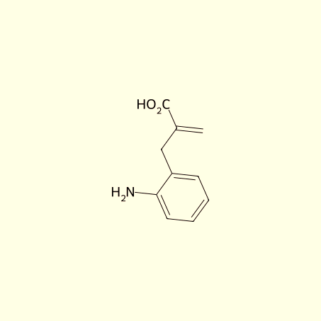 C=C(Cc1ccccc1N)C(=O)O